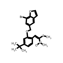 CSC(=Cc1ccc(C(C)(C)C)cc1OCc1cc(Br)c2occc2c1)[S+](C)[O-]